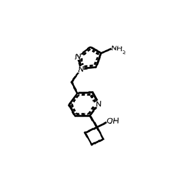 Nc1cnn(Cc2ccc(C3(O)CCC3)nc2)c1